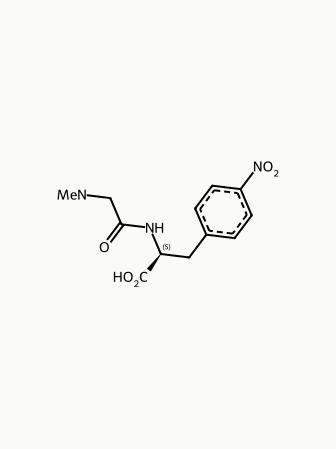 CNCC(=O)N[C@@H](Cc1ccc([N+](=O)[O-])cc1)C(=O)O